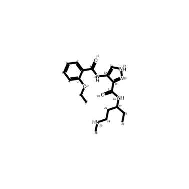 CCOc1ccccc1C(=O)Nc1c[nH]nc1C(=O)NC(CC)CCNC